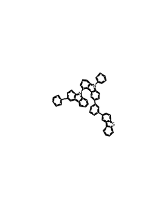 c1ccc(-c2ccc3c(c2)c2ccccc2n3-c2cccc3c2c2cc(-c4cccc(-c5ccc6sc7ccccc7c6c5)c4)ccc2n3-c2ccccc2)cc1